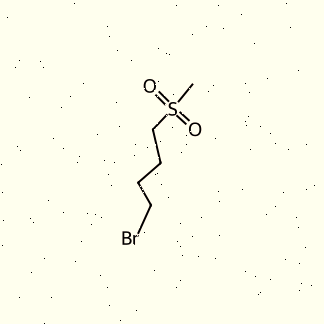 CS(=O)(=O)CCCCBr